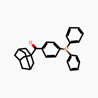 O=C(c1ccc([S+](c2ccccc2)c2ccccc2)cc1)C12CC3CC(CC(C3)C1)C2